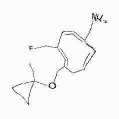 CC1(Oc2ccc(N)cc2F)CC1